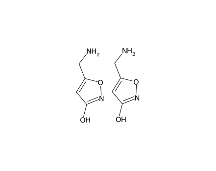 NCc1cc(O)no1.NCc1cc(O)no1